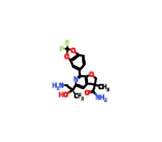 C[C@]1(C(N)=O)COc2c1cc([C@@](O)(CN)C(F)(F)F)nc2-c1ccc2c(c1)OC(F)(F)O2